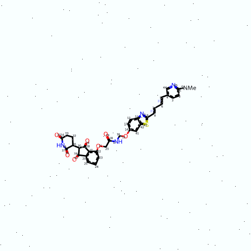 CNc1ccc(/C=C/C=C/c2nc3ccc(OCNC(=O)COc4cccc5c4C(=O)C(C4CCC(=O)NC4=O)C5=O)cc3s2)cn1